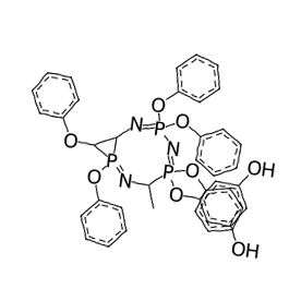 CC1N=P2(Oc3ccccc3)C(N=P(Oc3ccccc3)(Oc3ccccc3)N=P1(Oc1ccccc1)Oc1cc(O)cc(O)c1)C2Oc1ccccc1